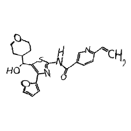 C=Cc1ccc(C(=O)Nc2nc(-c3ccco3)c(C(O)C3CCOCC3)s2)cn1